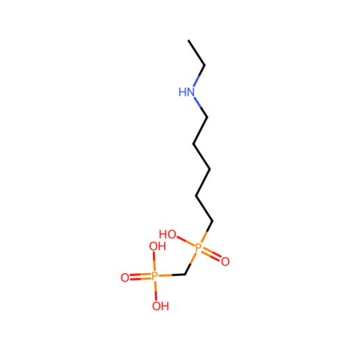 CCNCCCCCP(=O)(O)CP(=O)(O)O